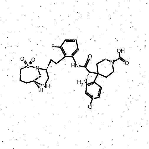 N[C@H](C(=O)Nc1cccc(F)c1CC[C@H]1CN[C@@H]2CCCS(=O)(=O)N1C2)C1(c2ccc(Cl)cc2)CCN(C(=O)O)CC1